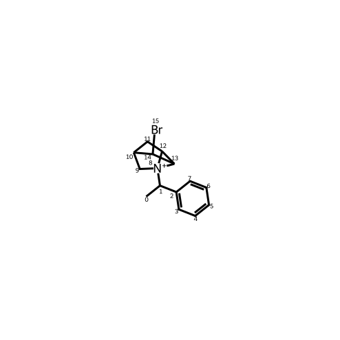 CC(c1ccccc1)[N+]12CC3CC1C2C3Br